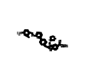 COC(=O)c1ccc2nc(Cc3ccc(-c4cccc(OCc5ccc(C(F)(F)F)cc5F)n4)cc3)n(C[C@@H]3CCOC3)c2c1